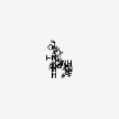 C=CC(=O)N1CCC[C@@H](Nc2nc(Nc3cnn(C(F)F)c3)nc3[nH]ncc23)C1